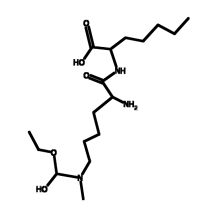 CCCCCC(NC(=O)C(N)CCCCN(C)C(O)OCC)C(=O)O